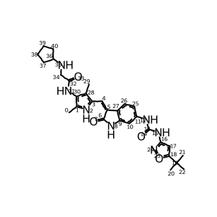 Cc1[nH]c(/C=C2\C(=O)Nc3cc(NC(=O)Nc4cc(C(C)(C)C)on4)ccc32)c(C)c1NC(=O)CNC1CCCC1